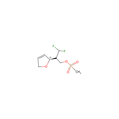 CS(=O)(=O)OCC(C(F)F)[C@@H]1C=CCO1